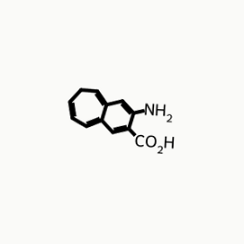 Nc1cc2c(cc1C(=O)O)=CC=CCC=2